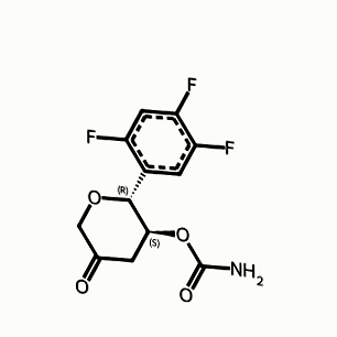 NC(=O)O[C@H]1CC(=O)CO[C@@H]1c1cc(F)c(F)cc1F